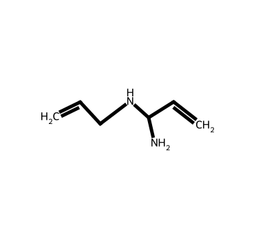 C=CCNC(N)C=C